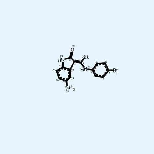 CCC(Nc1ccc(Br)cc1)=C1C(=O)Nc2ccc(N)cc21